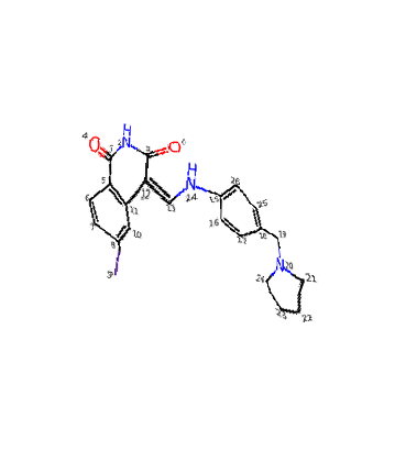 O=C1NC(=O)c2ccc(I)cc2C1=CNc1ccc(CN2CCCC2)cc1